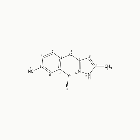 Cc1cc(Oc2ccc(C#N)cc2CF)n[nH]1